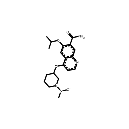 CC(C)Oc1cc2c(OC3CCCN([S+](C)[O-])C3)ccnc2cc1C(N)=O